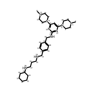 CN1CCN(c2cc(N3CCN(C)CC3)nc(NCc3ccc(CNCCCNC4CCCCC4)cc3)n2)CC1